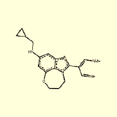 CN/C=C(\C=N)c1nc2cc(NCC3CC3)cc3c2n1CCCO3